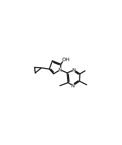 Cc1nc(C)c(-n2cc(C3CC3)cc2O)nc1C